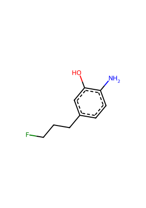 Nc1ccc(CCCF)cc1O